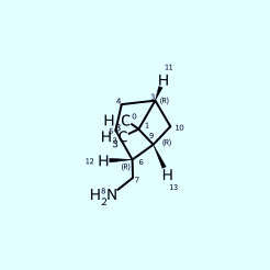 CC1(C)[C@@H]2CC[C@@H](CN)[C@H]1C2